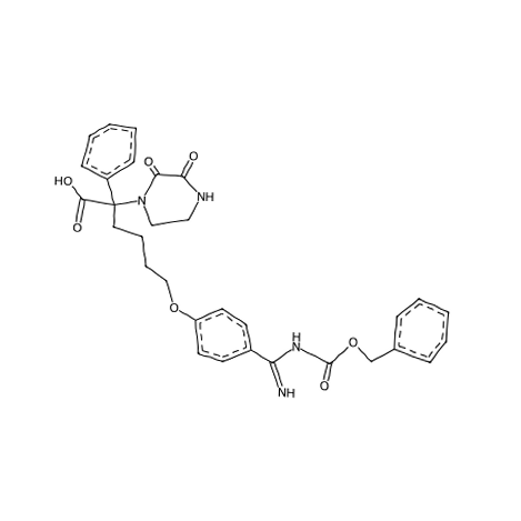 N=C(NC(=O)OCc1ccccc1)c1ccc(OCCCCC(C(=O)O)(c2ccccc2)N2CCNC(=O)C2=O)cc1